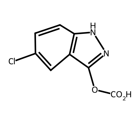 O=C(O)Oc1n[nH]c2ccc(Cl)cc12